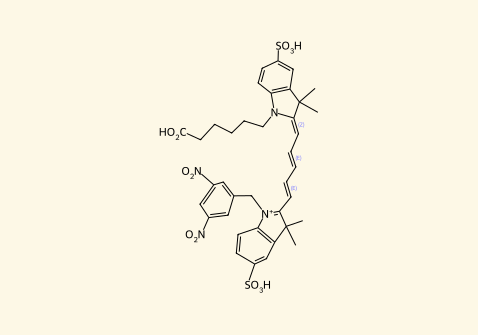 CC1(C)C(/C=C/C=C/C=C2\N(CCCCCC(=O)O)c3ccc(S(=O)(=O)O)cc3C2(C)C)=[N+](Cc2cc([N+](=O)[O-])cc([N+](=O)[O-])c2)c2ccc(S(=O)(=O)O)cc21